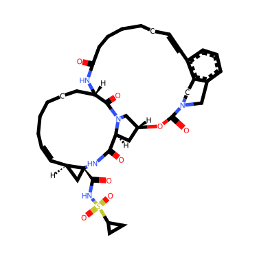 O=C1CCCCC/C=C/c2cccc3c2CN(C3)C(=O)O[C@@H]2C[C@H]3C(=O)N[C@]4(C(=O)NS(=O)(=O)C5CC5)C[C@H]4/C=C\CCCCC[C@H](N1)C(=O)N3C2